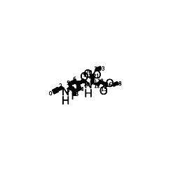 C#CCNc1ccc(C(=O)N[C@H](CCC(=O)OCC)C(=O)OCC)cc1F